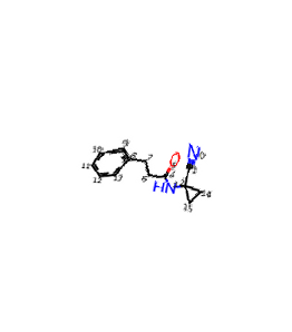 N#CC1(NC(=O)CCc2ccccc2)CC1